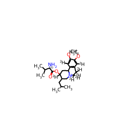 [2H]c1c(OC)c(OC)c([2H])c2c1C1CC([2H])(OC(=O)[C@@H](N)C(C)C)C(CC(C)C)CN1C([2H])([2H])C2([2H])[2H]